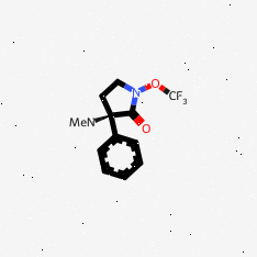 CN[C@@]1(c2ccccc2)CCN(OC(F)(F)F)C1=O